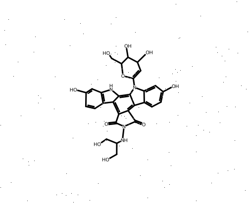 O=C1c2c(c3c4ccc(O)cc4n(C4=CC(O)C(O)C(CO)O4)c3c3[nH]c4cc(O)ccc4c23)C(=O)N1NC(CO)CO